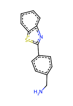 NCc1ccc(-c2nc3ccccc3s2)cc1